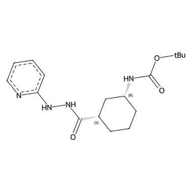 CC(C)(C)OC(=O)N[C@@H]1CCC[C@H](C(=O)NNc2ccccn2)C1